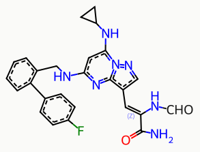 NC(=O)/C(=C/c1cnn2c(NC3CC3)cc(NCc3ccccc3-c3ccc(F)cc3)nc12)NC=O